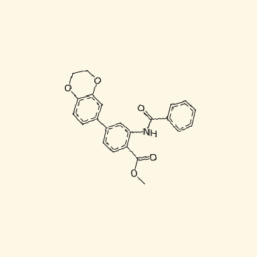 COC(=O)c1ccc(-c2ccc3c(c2)OCCO3)cc1NC(=O)c1ccccc1